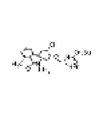 Cc1nccc2c1c(=O)n(C)c1cc(OC[C@H](CC(C)C)NC(=O)OC(C)(C)C)c(Cl)cc21